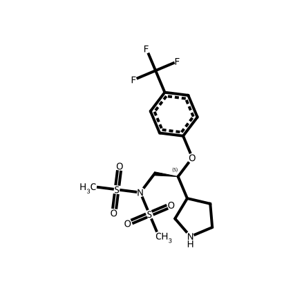 CS(=O)(=O)N(C[C@@H](Oc1ccc(C(F)(F)F)cc1)C1CCNC1)S(C)(=O)=O